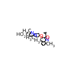 Cc1cccc(C)c1-c1noc(C2CC2)c1COC1CC2C[C@@H](C)C(C1)N2c1ccc(C(=O)O)c(C)n1